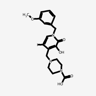 COc1cccc(Cn2cc(I)c(CN3CCN(C(=O)O)CC3)c(O)c2=O)c1